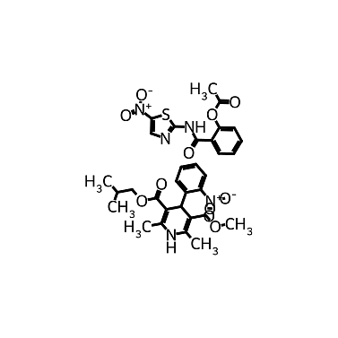 CC(=O)Oc1ccccc1C(=O)Nc1ncc([N+](=O)[O-])s1.COC(=O)C1=C(C)NC(C)=C(C(=O)OCC(C)C)C1c1ccccc1[N+](=O)[O-]